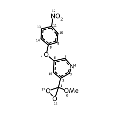 COC1(c2cncc(Oc3ccc([N+](=O)[O-])cc3)c2)OO1